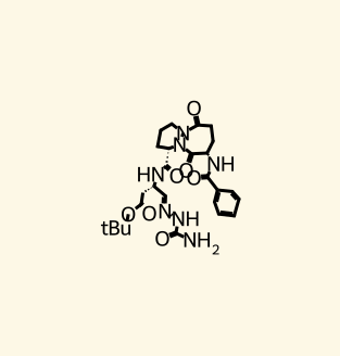 CC(C)(C)OC(=O)C[C@@H](/C=N/NC(N)=O)NC(=O)[C@@H]1CCCN2C(=O)CC[C@H](NC(=O)c3ccccc3)C(=O)N12